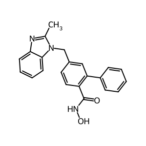 Cc1nc2ccccc2n1Cc1ccc(C(=O)NO)c(-c2ccccc2)c1